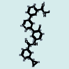 CNC(=O)c1cc(-c2cnnc(-c3cc(NC(=O)c4ccnc(C5CC5)c4)ccc3C)c2)ccn1